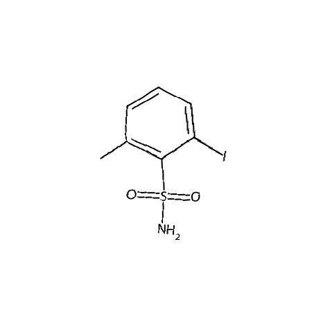 Cc1cccc(I)c1S(N)(=O)=O